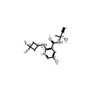 C#C[C@@](C)(CC)NC(=O)c1cc(Cl)cnc1NC1CC(F)(F)C1